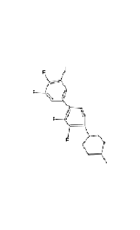 CC1CCC(c2ccc(-c3cc(F)c(F)c(F)c3)c(F)c2F)CC1